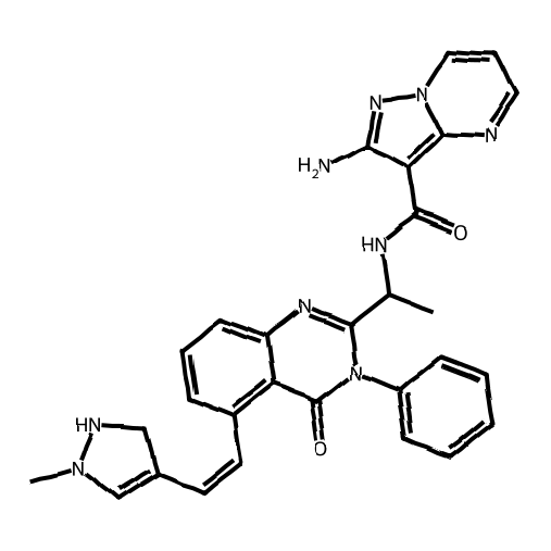 CC(NC(=O)c1c(N)nn2cccnc12)c1nc2cccc(/C=C\C3=CN(C)NC3)c2c(=O)n1-c1ccccc1